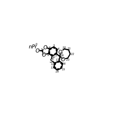 CCCOC1Oc2ccc3c(c2O1)Sc1ccccc1C31OCCCCO1